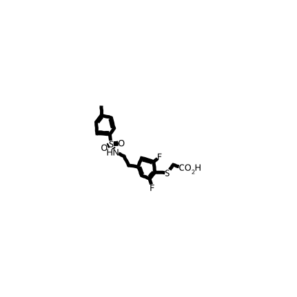 Cc1ccc(S(=O)(=O)NCCc2cc(F)c(SCC(=O)O)c(F)c2)cc1